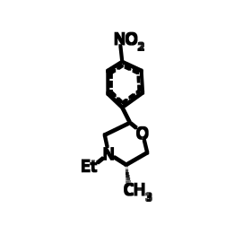 CCN1CC(c2ccc([N+](=O)[O-])cc2)OC[C@@H]1C